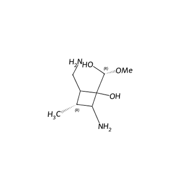 CO[C@@H](O)C1(O)C(N)[C@H](C)C1CN